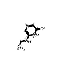 CCNc1cncc(=O)[nH]1